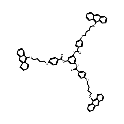 O=C(Oc1cc(OC(=O)c2ccc(OCCCCOc3c4ccccc4cc4ccccc34)cc2)cc(OC(=O)c2ccc(OCCCCOc3c4ccccc4cc4ccccc34)cc2)c1)c1ccc(OCCCCOc2c3ccccc3cc3ccccc23)cc1